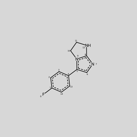 Fc1ccc(-c2cnc3n2CCN3)cc1